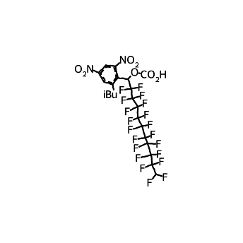 CCC(C)c1cc([N+](=O)[O-])cc([N+](=O)[O-])c1C(OC(=O)O)C(F)(F)C(F)(F)C(F)(F)C(F)(F)C(F)(F)C(F)(F)C(F)(F)C(F)(F)C(F)(F)C(F)F